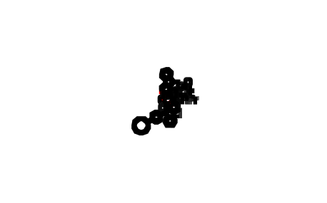 CC(C)[C@@H](C(=O)N[C@@H](CC(=O)OC(c1ccccc1)(c1ccc(C2CCCCCCCC2)cc1)c1ccccc1Cl)C(=O)N(C)C)N(C)C(=O)OCC1c2ccccc2-c2ccccc21